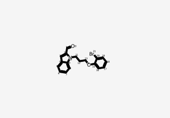 O=Cc1cc2ccccc2n1CCCOc1ccccc1Br